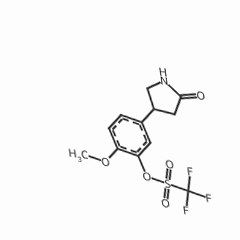 COc1ccc(C2CNC(=O)C2)cc1OS(=O)(=O)C(F)(F)F